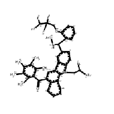 CCCCC(CC)Cn1c2ccc(C(NOC(C)=O)c3ccccc3OCC(F)(F)C(F)F)cc2c2cc(C(=O)c3c(C)c(C)c(C)c(C)c3C)c3ccccc3c21